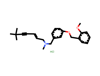 COc1ccccc1COc1cccc(CN(C)CC=CC#CC(C)(C)C)c1.Cl